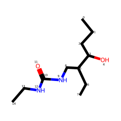 CCCC(O)C(CC)CNC(=O)NCC